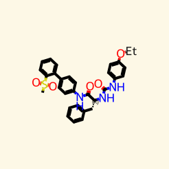 CCOc1ccc(NC(=O)N[C@H](Cc2ccccc2)C(=O)Nc2ccc(-c3ccccc3S(C)(=O)=O)cc2)cc1